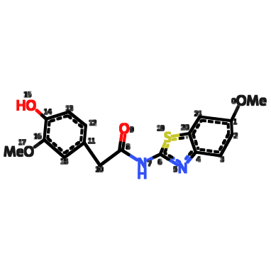 COc1ccc2nc(NC(=O)Cc3ccc(O)c(OC)c3)sc2c1